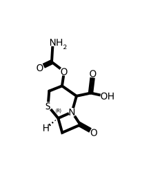 NC(=O)OC1CS[C@@H]2CC(=O)N2C1C(=O)O